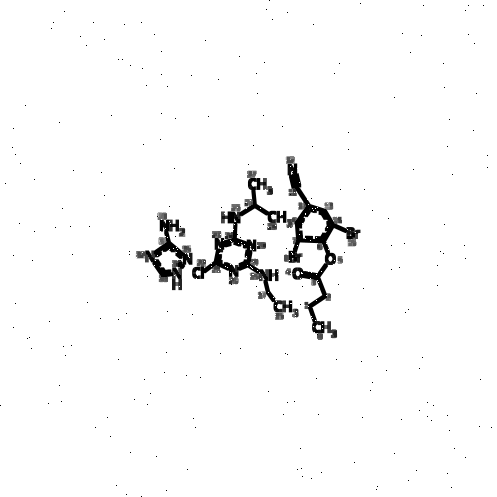 CCCC(=O)Oc1c(Br)cc(C#N)cc1Br.CCNc1nc(Cl)nc(NC(C)C)n1.Nc1nc[nH]n1